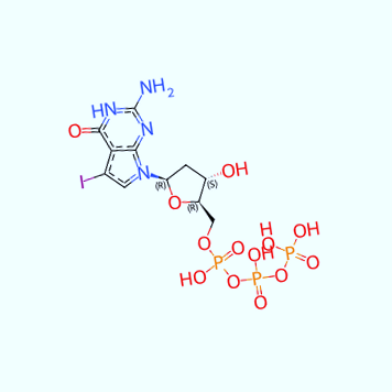 Nc1nc2c(c(I)cn2[C@H]2C[C@H](O)[C@@H](COP(=O)(O)OP(=O)(O)OP(=O)(O)O)O2)c(=O)[nH]1